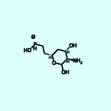 N[C@H]1C(O)O[C@H](CC[PH](=O)O)C[C@@H]1O